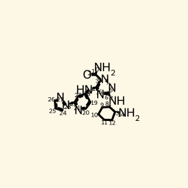 NC(=O)c1nnc(N[C@@H]2CCCC[C@@H]2N)nc1Nc1ccnc(-n2cccn2)c1